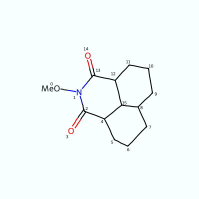 CON1C(=O)C2CCCC3CCCC(C1=O)C32